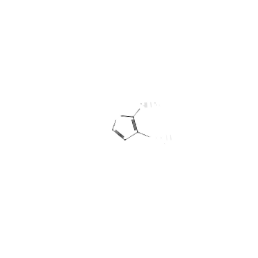 CC(=O)Nc1sccc1C(=O)O